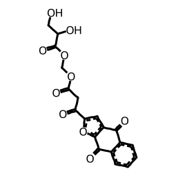 O=C(CC(=O)c1cc2c(o1)C(=O)c1ccccc1C2=O)OCOC(=O)C(O)CO